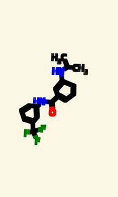 CC(C)Nc1cccc(C(=O)Nc2cccc(C(F)(F)F)c2)c1